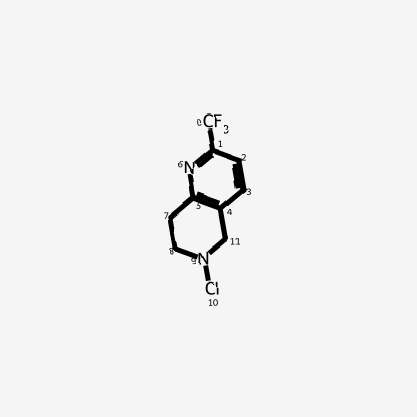 FC(F)(F)c1ccc2c(n1)CCN(Cl)C2